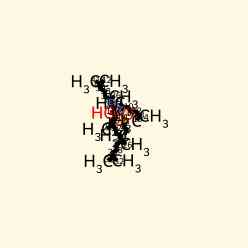 CCCCS(=O)(=O)/C(=C(/C)CCC=C(C)C)C(O)(CC=C(C)CCC=C(C)CCC=C(C)C)C/C=C(\C)CCC=C(C)C